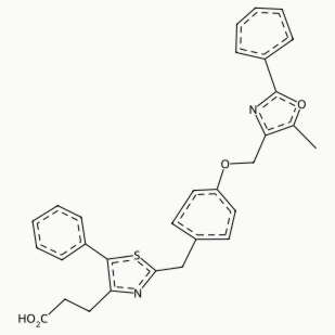 Cc1oc(-c2ccccc2)nc1COc1ccc(Cc2nc(CCC(=O)O)c(-c3ccccc3)s2)cc1